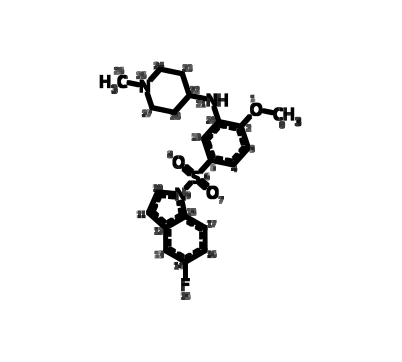 COc1ccc(S(=O)(=O)n2ccc3cc(F)ccc32)cc1NC1CCN(C)CC1